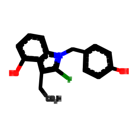 O=C(O)Cc1c(F)n(Cc2ccc(O)cc2)c2cccc(O)c12